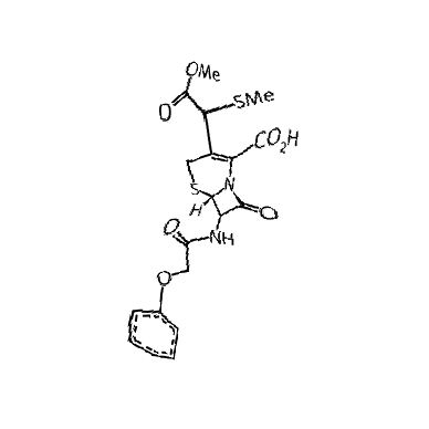 COC(=O)C(SC)C1=C(C(=O)O)N2C(=O)C(NC(=O)COc3ccccc3)[C@@H]2SC1